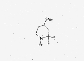 CCN1CCC(SC)CC1(F)F